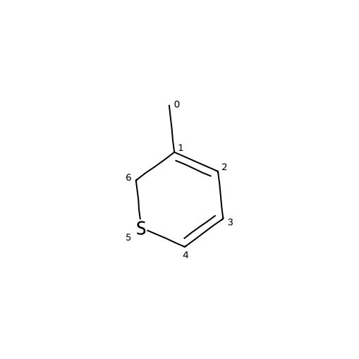 CC1=CC=CSC1